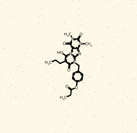 CCCc1c(O)n2c3c(=O)n(C)c(=O)n(C)c3nc2n(Cc2ccc(OC(=O)CC)cc2)c1=O